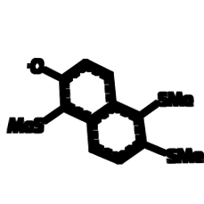 CSc1ccc2c(SC)c([O])ccc2c1SC